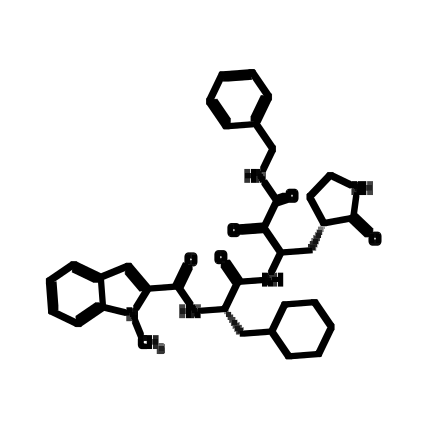 Cn1c(C(=O)N[C@@H](CC2CCCCC2)C(=O)NC(C[C@@H]2CCNC2=O)C(=O)C(=O)NCc2ccccc2)cc2ccccc21